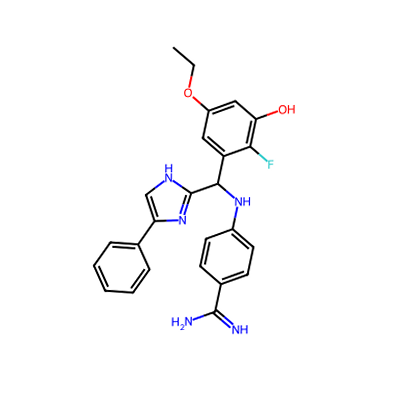 CCOc1cc(O)c(F)c(C(Nc2ccc(C(=N)N)cc2)c2nc(-c3ccccc3)c[nH]2)c1